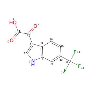 O=C(O)C(=O)c1c[nH]c2cc(C(F)(F)F)ccc12